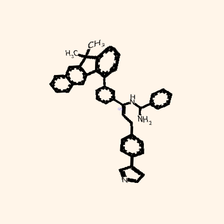 CC1(C)c2cc3ccccc3cc2-c2c(-c3cccc(/C(=C/Cc4ccc(C5=CC=[N+]=C5)cc4)NC(N)c4ccccc4)c3)cccc21